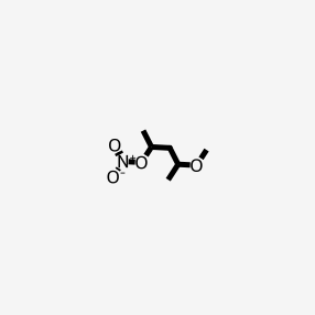 COC(C)CC(C)O[N+](=O)[O-]